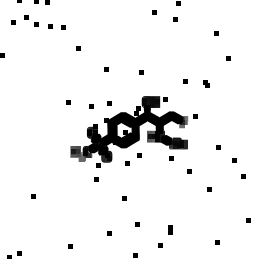 CC(C)(C)NC(CF)[C@H](O)c1ccc(S(C)(=O)=O)cc1